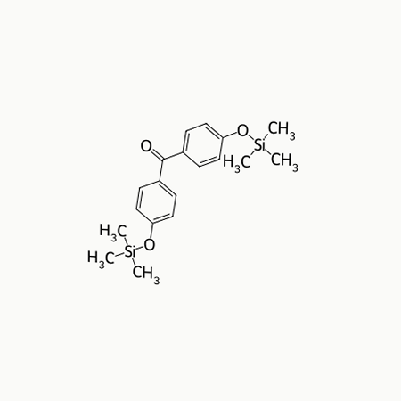 C[Si](C)(C)Oc1ccc(C(=O)c2ccc(O[Si](C)(C)C)cc2)cc1